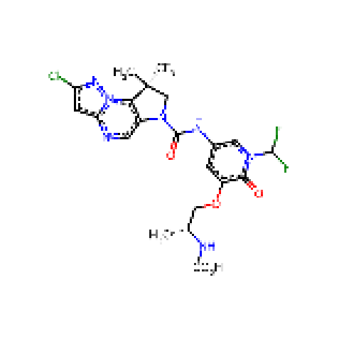 C[C@H](COc1cc(NC(=O)N2C[C@@](C)(C(F)(F)F)c3c2cnc2cc(Cl)nn32)cn(C(F)F)c1=O)NC(=O)O